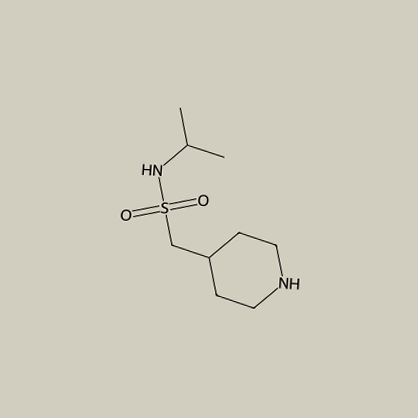 CC(C)NS(=O)(=O)CC1CCNCC1